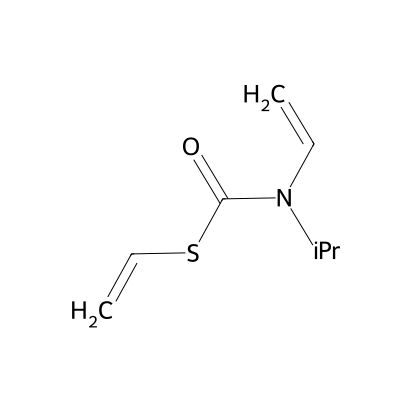 C=CSC(=O)N(C=C)C(C)C